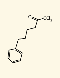 O=C(CCCCc1ccccc1)C(Cl)(Cl)Cl